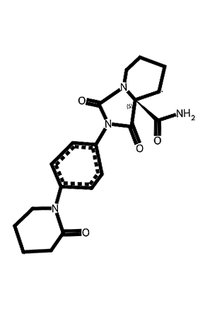 NC(=O)[C@]12[CH]CCCN1C(=O)N(c1ccc(N3CCCCC3=O)cc1)C2=O